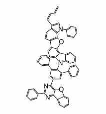 C=C/C=C\c1cn(-c2ccccc2)c2c1ccc1c3ccc4c(c5ccccc5n4-c4c(-c5ccccc5)cc(-c5nc(-c6ccccc6)nc6c5oc5ccccc56)cc4-c4ccccc4)c3oc12